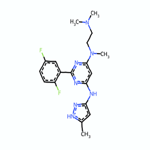 Cc1cc(Nc2cc(N(C)CCN(C)C)nc(-c3cc(F)ccc3F)n2)n[nH]1